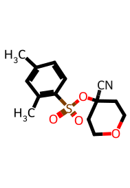 Cc1ccc(S(=O)(=O)OC2(C#N)CCOCC2)c(C)c1